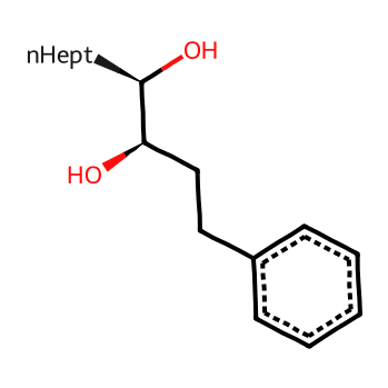 CCCCCCC[C@@H](O)[C@H](O)CCc1ccccc1